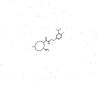 Cc1ccc(CCNC(=O)C2CCCC(C)CCCC(N)C2)cc1C(C)C